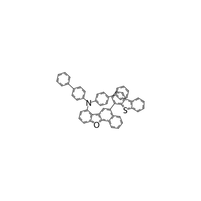 c1ccc(-c2ccc(N(c3ccc(-c4ccccc4)cc3)c3cccc4oc5c6ccccc6c(-c6cccc7c6sc6ccccc67)cc5c34)cc2)cc1